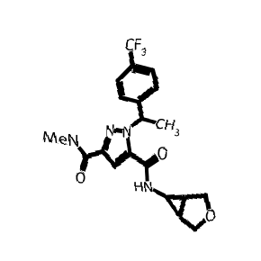 CNC(=O)c1cc(C(=O)NC2C3COCC32)n(C(C)c2ccc(C(F)(F)F)cc2)n1